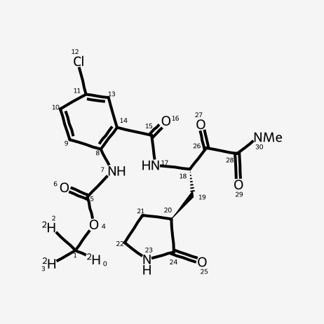 [2H]C([2H])([2H])OC(=O)Nc1ccc(Cl)cc1C(=O)N[C@@H](C[C@@H]1CCNC1=O)C(=O)C(=O)NC